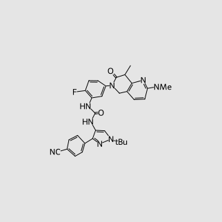 CNc1ccc2c(n1)C(C)C(=O)N(c1ccc(F)c(NC(=O)Nc3cn(C(C)(C)C)nc3-c3ccc(C#N)cc3)c1)C2